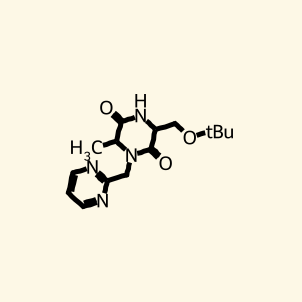 CC1C(=O)NC(COC(C)(C)C)C(=O)N1Cc1ncccn1